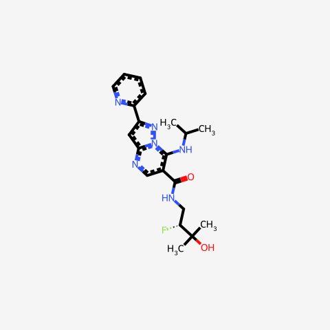 CC(C)Nc1c(C(=O)NC[C@@H](F)C(C)(C)O)cnc2cc(-c3ccccn3)nn12